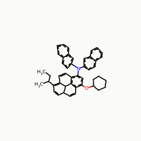 CCC(C)C1=C2C=Cc3c(N(c4ccc5ccccc5c4)c4ccc5ccccc5c4)cc(OC4CCCCC4)c4c3C2C(C=C1)C=C4